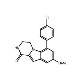 COc1cc(-c2ccc(Cl)cc2)c2c(c1)cc1n2CCNC1=O